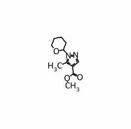 COC(=O)c1cnn(C2CCCCO2)c1C